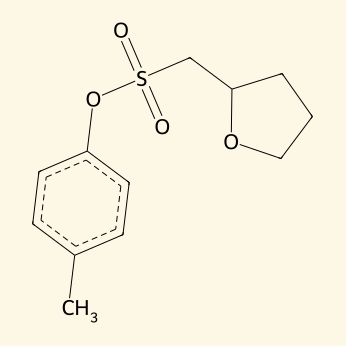 Cc1ccc(OS(=O)(=O)CC2CCCO2)cc1